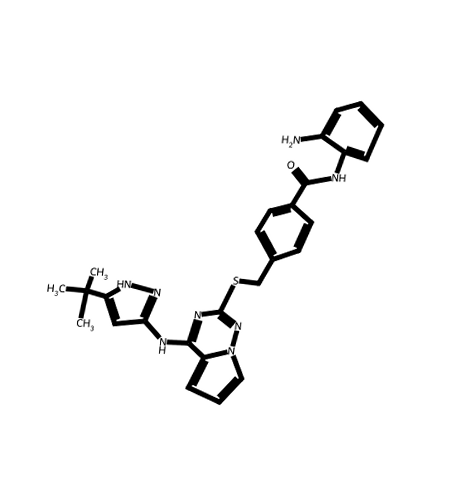 CC(C)(C)c1cc(Nc2nc(SCc3ccc(C(=O)Nc4ccccc4N)cc3)nn3cccc23)n[nH]1